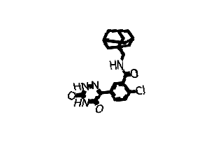 O=C(NCC12CC3CC(CC(C3)C1)C2)c1cc(-c2n[nH]c(=O)[nH]c2=O)ccc1Cl